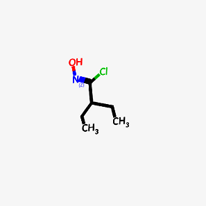 CCC(CC)/C(Cl)=N/O